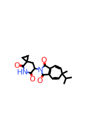 CC(C)C1(C)C=CC2=C(C=C1)C(=O)N(C1CC3(CC3)C(=O)NC1=O)C2=O